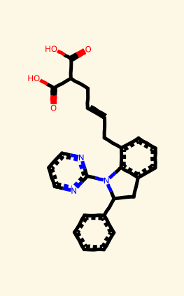 O=C(O)C(C/C=C/Cc1cccc2c1N(c1ncccn1)C(c1ccccc1)C2)C(=O)O